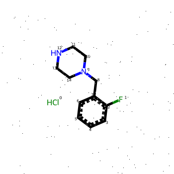 Cl.Fc1ccccc1CN1CCNCC1